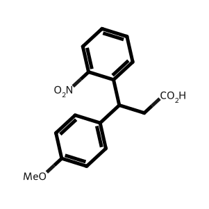 COc1ccc(C(CC(=O)O)c2ccccc2[N+](=O)[O-])cc1